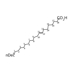 CCCCCCCCCCCCCCCCCCCCC=CCCCCCCC(=O)O